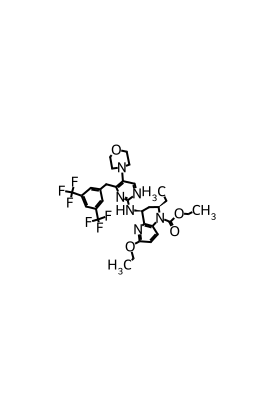 CCOC(=O)N1c2ccc(OCC)nc2[C@@H](Nc2ncc(N3CCOCC3)c(Cc3cc(C(F)(F)F)cc(C(F)(F)F)c3)n2)C[C@H]1CC